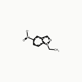 CCn1ncc2cc([N+](=O)[O-])ccc21